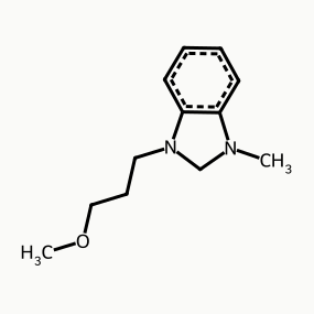 COCCCN1CN(C)c2ccccc21